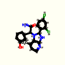 NC(=O)C(c1cccc(O)c1)N1c2c(C(=O)O)ccnc2NC1c1ccc(Cl)cc1Cl